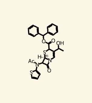 CC(=O)N(c1cccs1)C1C(=O)N2C=C(C(C)O)C(C(=O)OC(c3ccccc3)c3ccccc3)S[C@H]12